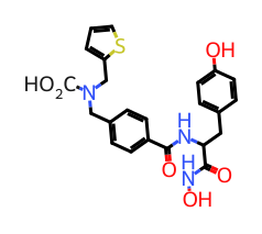 O=C(NC(Cc1ccc(O)cc1)C(=O)NO)c1ccc(CN(Cc2cccs2)C(=O)O)cc1